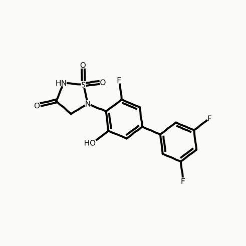 O=C1CN(c2c(O)cc(-c3cc(F)cc(F)c3)cc2F)S(=O)(=O)N1